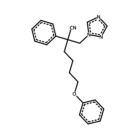 N#CC(CCCCOc1ccccc1)(Cn1cncn1)c1ccccc1